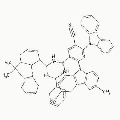 Cc1ccc2c(c1)c1c(n2-c2cc(-n3c4ccccc4c4ccccc43)c(C#N)cc2C2NC(C3C=CC=CC3)NC(C3C=CCC4C3C3CC=CCC3C4(C)C)N2)C=CC(C)C1